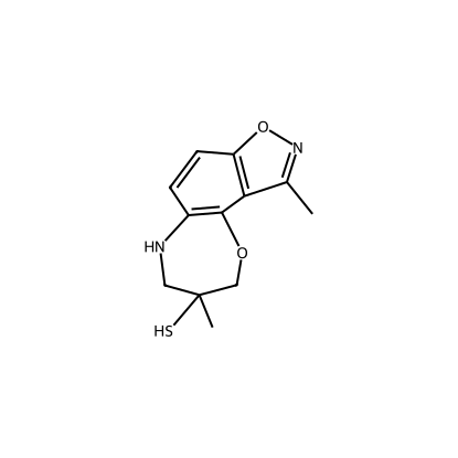 Cc1noc2ccc3c(c12)OCC(C)(S)CN3